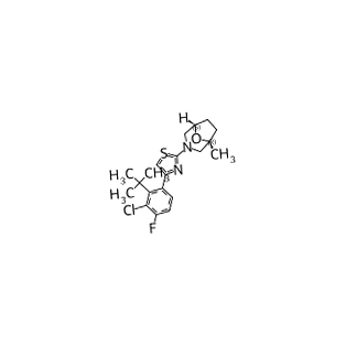 CC(C)(C)c1c(-c2csc(N3C[C@@H]4CC[C@](C)(C3)O4)n2)ccc(F)c1Cl